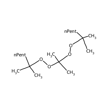 CCCCCC(C)(C)OOC(C)(C)OOC(C)(C)CCCCC